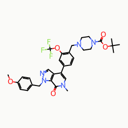 COc1ccc(Cn2ncc3c(-c4ccc(CN5CCN(C(=O)OC(C)(C)C)CC5)c(OC(F)(F)F)c4)cn(C)c(=O)c32)cc1